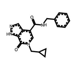 O=C(NCc1ccccc1)c1cn(CC2CC2)c(=O)c2[nH]ncc12